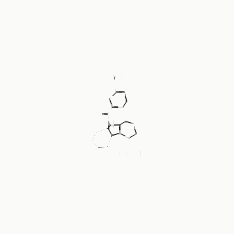 O=C(O)C1CCCc2c1c1ccccc1n2C(=O)c1cccc(OC(F)(F)F)c1